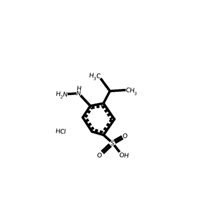 CC(C)c1cc(S(=O)(=O)O)ccc1NN.Cl